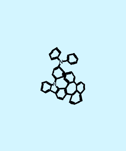 c1ccc(N(c2ccccc2)c2ccc(-n3c4ccccc4c4ccc5c(c43)-c3ccccc3-c3cccc4cccc-5c34)cc2)cc1